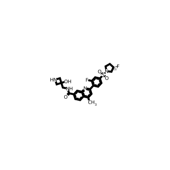 Cc1cc(-c2ccc(S(=O)(=O)N3CC[C@H](F)C3)cc2F)nc2cc(C(=O)NCC3(O)CNC3)ccc12